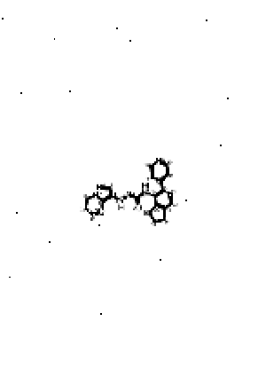 O=C(N=[SH]c1cnn2c1OCCC2)Nc1c(-c2ccncc2)ccc2c1CCC2